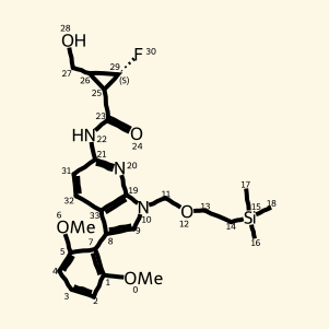 COc1cccc(OC)c1-c1cn(COCC[Si](C)(C)C)c2nc(NC(=O)C3C(CO)[C@@H]3F)ccc12